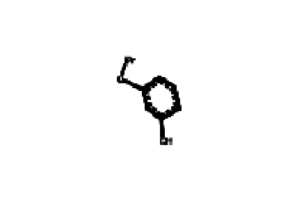 CC(C)Oc1cccc(O)c1